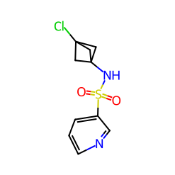 O=S(=O)(NC12CC(Cl)(C1)C2)c1cccnc1